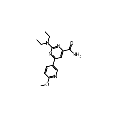 CCN(CC)c1nc(C(N)=O)cc(-c2ccc(OC)nc2)n1